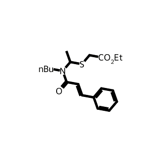 CCCCN(C(=O)/C=C/c1ccccc1)C(C)SCC(=O)OCC